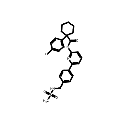 CS(=O)(=O)NCc1ccc(-c2cccc(NC(=O)C3(c4ccc(Cl)cc4)CCCCC3)n2)cc1